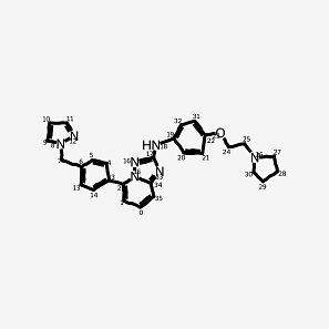 c1cc(-c2ccc(Cn3cccn3)cc2)n2nc(Nc3ccc(OCCN4CCCC4)cc3)nc2c1